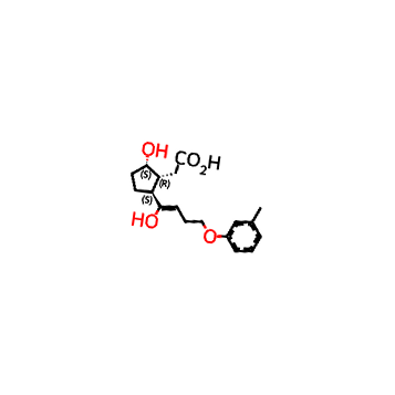 Cc1cccc(OCCC=C(O)[C@H]2CC[C@H](O)[C@@H]2CC(=O)O)c1